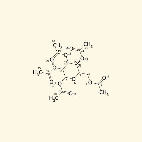 CC(=O)OCC1OC(OC(C)=O)C(OC(C)=O)C(OC(C)=O)[C@H]1OC(C)=O